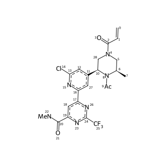 C=CC(=O)N1C[C@@H](C)N(C(C)=O)[C@@H](c2cc(Cl)nc(-c3cc(C(=O)NC)nc(C(F)(F)F)n3)c2)C1